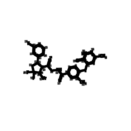 Cc1cc(Cc2ccc(C(=O)NCC(=O)N3[C@@H](C(C)C)C(F)(F)C[C@H]3c3cccc(F)c3)cc2C)c(=O)[nH]n1